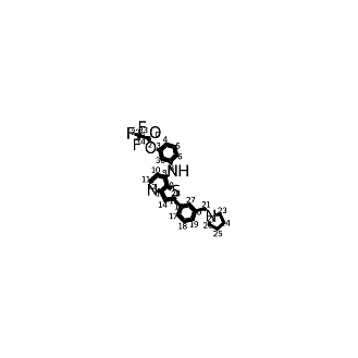 O=C(Oc1cccc(Nc2ccnc3cc(-c4cccc(CN5CCCC5)c4)sc23)c1)C(F)(F)F